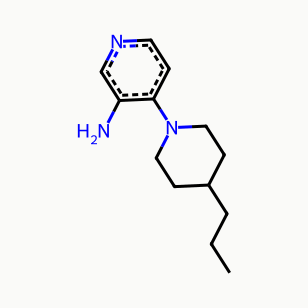 CCCC1CCN(c2ccncc2N)CC1